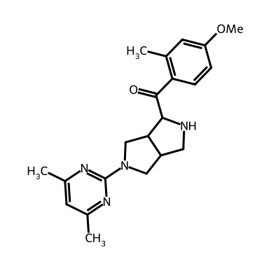 COc1ccc(C(=O)C2NCC3CN(c4nc(C)cc(C)n4)CC32)c(C)c1